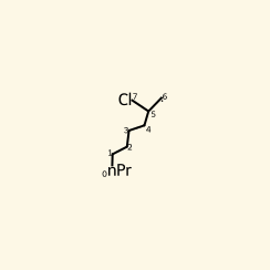 [CH2]CCCCCCC([CH2])Cl